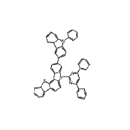 c1ccc(-c2cc(-c3ccccc3)nc(-n3c4cc(-c5ccc6c(c5)c5ccccc5n6-c5ccccc5)ccc4c4c5sc6ccccc6c5ccc43)n2)cc1